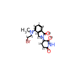 CN(CCBr)c1cccc2c1CN(C1CCC(=O)NC1=O)C2=O